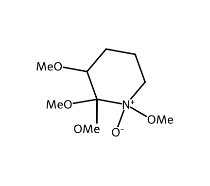 COC1CCC[N+]([O-])(OC)C1(OC)OC